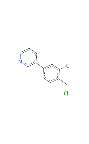 ClCc1ccc(-c2cccnc2)cc1Cl